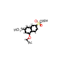 COS(=O)(=O)c1ccc2c(OCC(C)=O)cc(S(=O)(=O)O)cc2c1